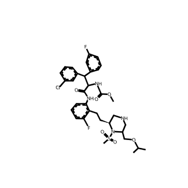 COC(=O)NC(C(=O)Nc1cccc(F)c1CC[C@H]1CNCC(COC(C)C)N1S(C)(=O)=O)C(c1cccc(F)c1)c1cccc(Cl)c1